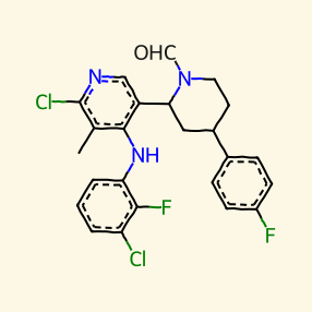 Cc1c(Cl)ncc(C2CC(c3ccc(F)cc3)CCN2C=O)c1Nc1cccc(Cl)c1F